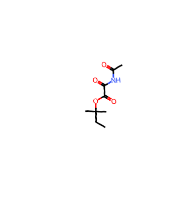 CCC(C)(C)OC(=O)C(=O)NC(C)=O